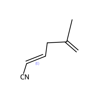 C=C(C)C/C=C/C#N